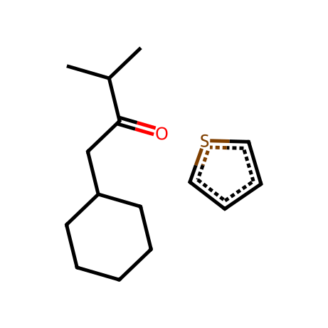 CC(C)C(=O)CC1CCCCC1.c1ccsc1